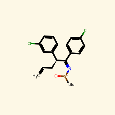 C=CC[C@H](C(=N[S+]([O-])C(C)(C)C)c1ccc(Cl)cc1)c1cccc(Cl)c1